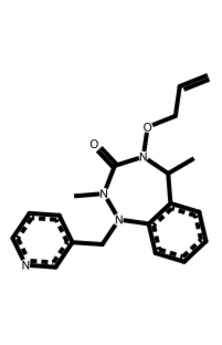 C=CCON1C(=O)N(C)N(Cc2cccnc2)c2ccccc2C1C